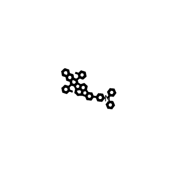 Cc1ccccc1-c1c2c(c(-c3ccccc3C)c3cc4ccccc4cc13)-c1ccc3c4c(ccc-2c14)-c1ccc(-c2ccc(N(c4ccccc4)c4ccccc4)cc2)cc1-3